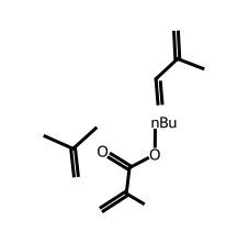 C=C(C)C.C=C(C)C(=O)OCCCC.C=CC(=C)C